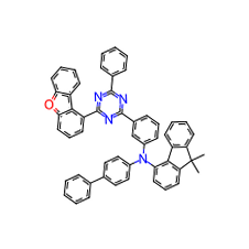 CC1(C)c2ccccc2-c2c(N(c3ccc(-c4ccccc4)cc3)c3cccc(-c4nc(-c5ccccc5)nc(-c5cccc6oc7ccccc7c56)n4)c3)cccc21